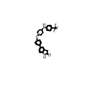 O=C1Cc2cc(-c3ccc(SN4CCC(Nc5ccc(C(F)(F)F)cc5)CC4)cc3)ccc2N1